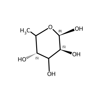 CC1O[C@@H](O)[C@@H](O)C(O)[C@@H]1O